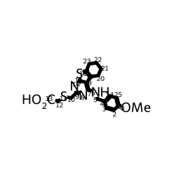 COc1ccc(CNc2nc(CSCC(=O)O)nc3sc4c(c23)CCCC4)cc1